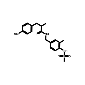 CC(Cc1ccc(C(C)(C)C)cc1)C(=S)NCc1ccc(NS(C)(=O)=O)c(F)c1